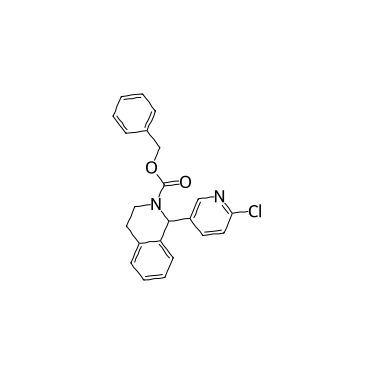 O=C(OCc1ccccc1)N1CCc2ccccc2C1c1ccc(Cl)nc1